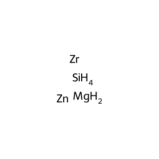 [MgH2].[SiH4].[Zn].[Zr]